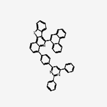 c1ccc(-c2cc(-c3ccc(-c4cccc5c4nc(-c4cc6ccccc6c6ccccc46)c4c6ccccc6sc54)cc3)nc(-c3ccccc3)n2)cc1